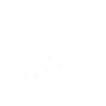 CC(C)Oc1nc(NC(=O)NO)nc(Cl)c1-c1c(F)cc(F)cc1F